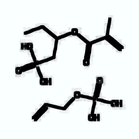 C=C(C)C(=O)OC(CC)CP(=O)(O)O.C=CCOP(=O)(O)O